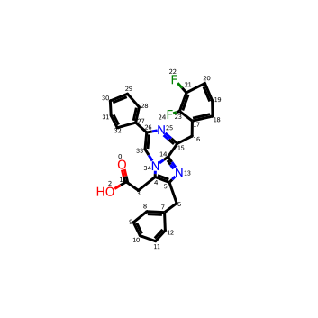 O=C(O)Cc1c(Cc2ccccc2)nc2c(Cc3cccc(F)c3F)nc(-c3ccccc3)cn12